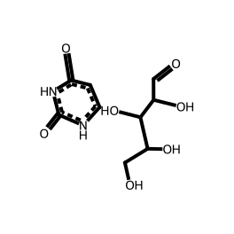 O=CC(O)C(O)C(O)CO.O=c1cc[nH]c(=O)[nH]1